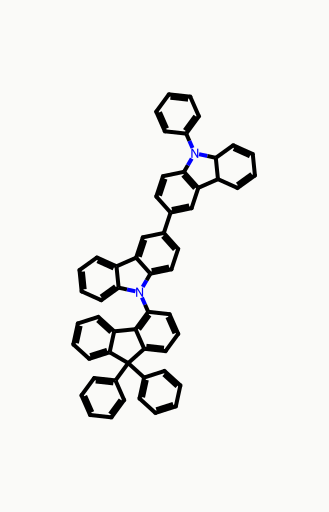 C1=CC2c3cc(-c4ccc5c(c4)c4ccccc4n5-c4cccc5c4-c4ccccc4C5(c4ccccc4)c4ccccc4)ccc3N(c3ccccc3)C2C=C1